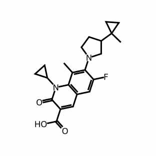 Cc1c(N2CCC(C3(C)CC3)C2)c(F)cc2cc(C(=O)O)c(=O)n(C3CC3)c12